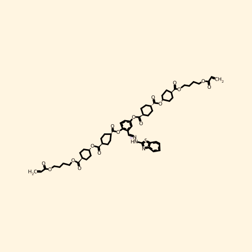 C=CC(=O)OCCCCOC(=O)[C@H]1CC[C@H](OC(=O)[C@H]2CC[C@H](C(=O)Oc3ccc(OC(=O)[C@H]4CC[C@H](C(=O)O[C@H]5CC[C@H](C(=O)OCCCCOC(=O)C=C)CC5)CC4)c(/C=N/Nc4nc5ccccc5s4)c3)CC2)CC1